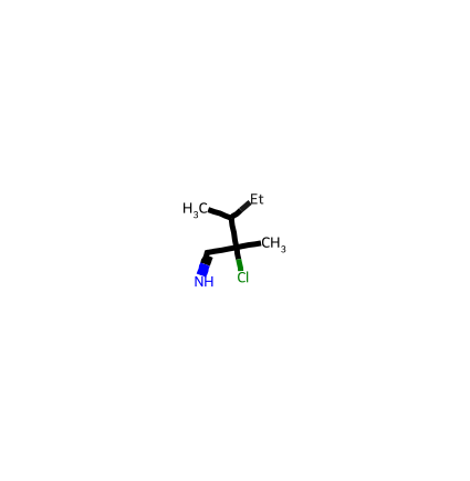 CCC(C)C(C)(Cl)C=N